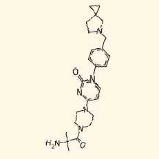 CC(C)(N)C(=O)N1CCN(c2ccn(-c3ccc(CN4CCC5(CC5)C4)cc3)c(=O)n2)CC1